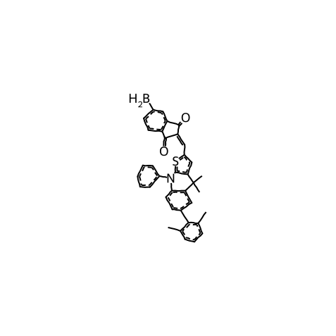 Bc1ccc2c(c1)C(=O)/C(=C/c1cc3c(s1)N(c1ccccc1)c1ccc(-c4c(C)cccc4C)cc1C3(C)C)C2=O